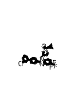 O=C(C1CC1)N1CC[C@@H](Cn2c(-c3ccc(-c4cccc(Cl)c4)cc3)nc3cc(C(F)(F)F)ccc32)C1